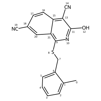 Cc1ccccc1CSc1nc(O)c(C#N)c2ccc(C#N)cc12